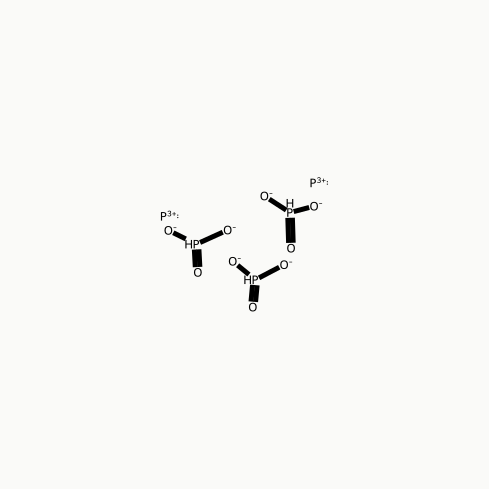 O=[PH]([O-])[O-].O=[PH]([O-])[O-].O=[PH]([O-])[O-].[P+3].[P+3]